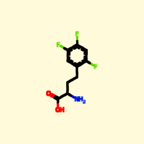 NC(CCc1cc(F)c(F)cc1F)C(=O)O